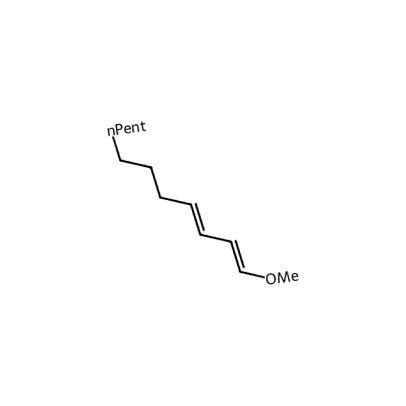 [CH2]OC=CC=CCCCCCCCC